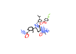 CNC(=O)c1cccc(-c2ccc(NC(=O)C(C)NC)c(=O)n2Cc2cc(C(=O)c3ccc(F)cc3)cc(C(C)C)c2)c1C